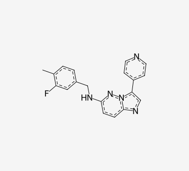 Cc1ccc(CNc2ccc3ncc(-c4ccncc4)n3n2)cc1F